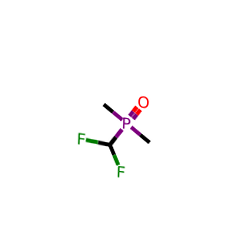 CP(C)(=O)C(F)F